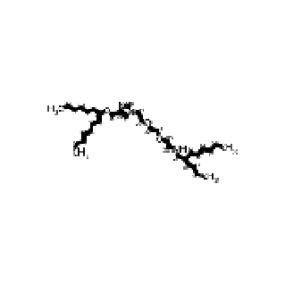 CCCCCCCC(CCCCCC)OCc1cn(CCOCCOCCNCC(CCCC)CCCCCC)nn1